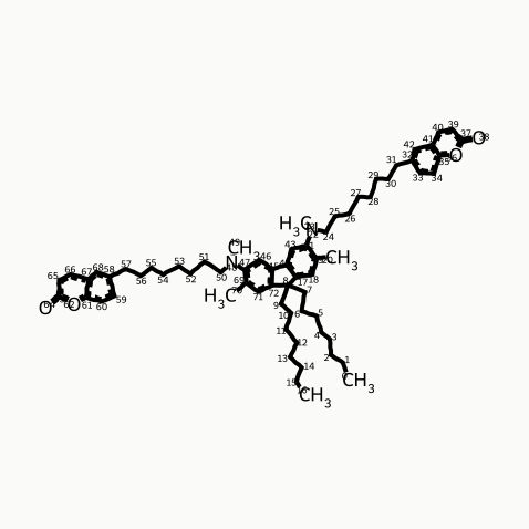 CCCCCCCCC1(CCCCCCCC)c2cc(C)c(N(C)CCCCCCCCc3ccc4oc(=O)ccc4c3)cc2-c2cc(N(C)CCCCCCCCc3ccc4oc(=O)ccc4c3)c(C)cc21